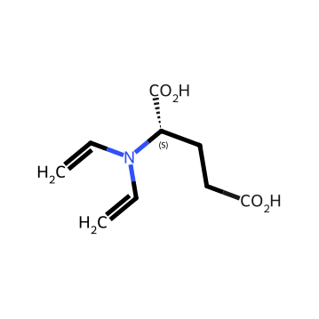 C=CN(C=C)[C@@H](CCC(=O)O)C(=O)O